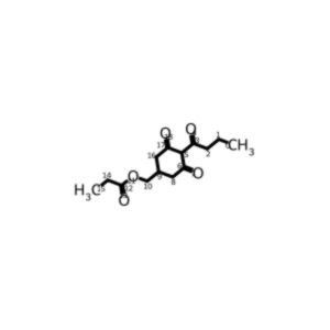 CCCC(=O)C1C(=O)CC(COC(=O)CC)CC1=O